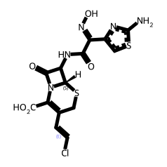 Nc1nc(C(=NO)C(=O)NC2C(=O)N3C(C(=O)O)=C(/C=C/Cl)CS[C@@H]23)cs1